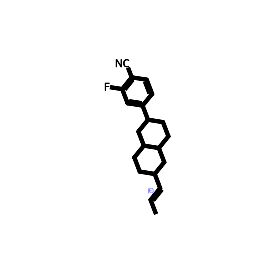 C/C=C/C1CCC2CC(c3ccc(C#N)c(F)c3)CCC2C1